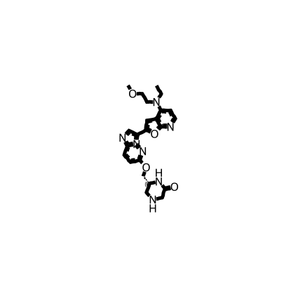 CCN(CCOC)c1ccnc2oc(-c3cnc4ccc(OC[C@H]5CNCC(=O)N5)nn34)cc12